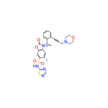 C[C@H](c1ccccc1C#CCN1CCOCC1)n1c(=O)oc2cc(S(=O)(=O)Nc3ncns3)c(F)cc21